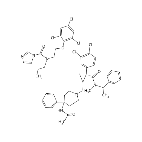 CC(=O)NC1(c2ccccc2)CCN(C[C@@H]2C[C@@]2(C(=O)N(C)C(C)c2ccccc2)c2ccc(Cl)c(Cl)c2)CC1.CCCN(CCOc1c(Cl)cc(Cl)cc1Cl)C(=O)n1ccnc1